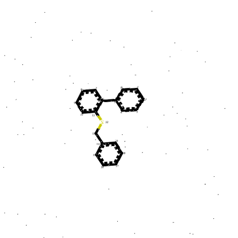 [c]1ccccc1-c1ccccc1SCc1ccccc1